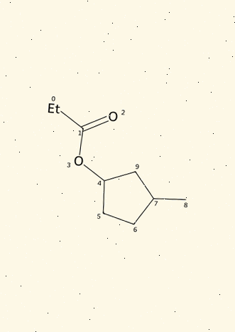 CCC(=O)OC1CCC(C)C1